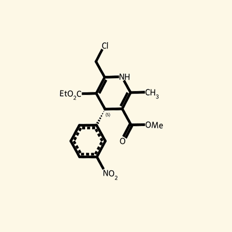 CCOC(=O)C1=C(CCl)NC(C)=C(C(=O)OC)[C@@H]1c1cccc([N+](=O)[O-])c1